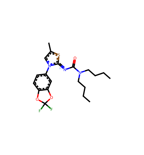 CCCCN(CCCC)C(=O)/N=c1\sc(C)cn1-c1ccc2c(c1)OC(F)(F)O2